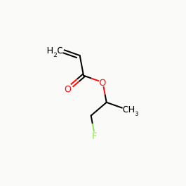 C=CC(=O)OC(C)CF